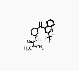 CC(C)C(=O)N[C@@H]1CCCC(Nc2cc(C(F)(F)F)nc3ccccc23)C1